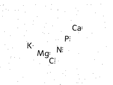 [C].[Ca].[K].[Mg].[N].[P]